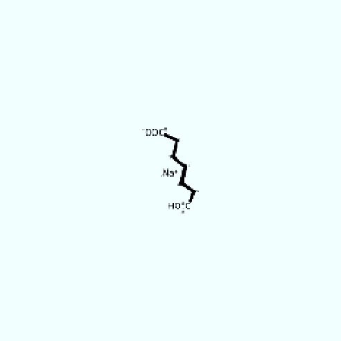 O=C([O-])CCCCCC(=O)O.[Na+]